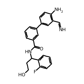 N=Cc1cc(-c2cccc(C(=O)NC(CCO)c3ccccc3F)c2)ccc1N